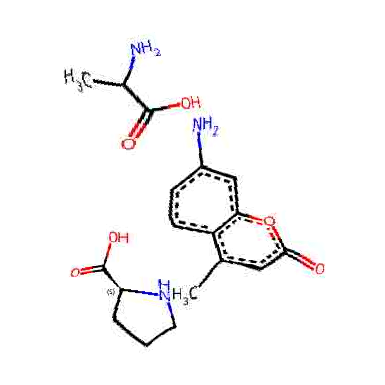 CC(N)C(=O)O.Cc1cc(=O)oc2cc(N)ccc12.O=C(O)[C@@H]1CCCN1